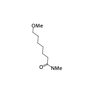 CNC(=O)CCCCCCOC